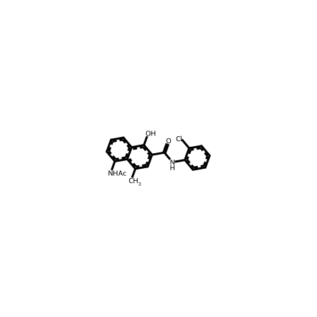 CC(=O)Nc1cccc2c(O)c(C(=O)Nc3ccccc3Cl)cc(C)c12